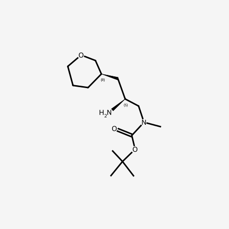 CN(C[C@@H](N)C[C@H]1CCCOC1)C(=O)OC(C)(C)C